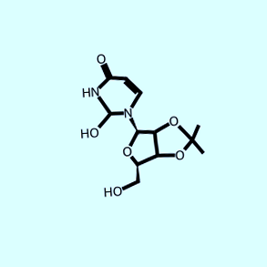 CC1(C)OC2C(O1)[C@@H](CO)O[C@H]2N1C=CC(=O)NC1O